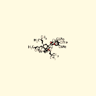 COc1cc(C(=O)OC2=C(CC=C(C)C)C(=O)[C@@]3(C(=O)C(C)C)C(O)[C@]2(CC=C(C)C)C[C@H](CC=C(C)C)[C@@]3(C)CCC=C(C)C)cc(OC)c1OC